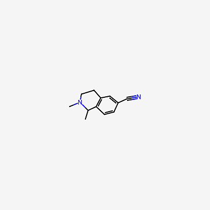 CC1c2ccc(C#N)cc2CCN1C